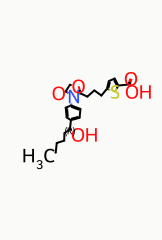 CCCCC[C@@H](O)c1ccc(N2C(=O)COC2CCCc2ccc(C(=O)O)s2)cc1